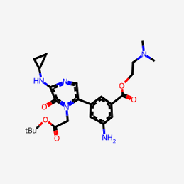 CN(C)CCOC(=O)c1cc(N)cc(-c2cnc(NC3CC3)c(=O)n2CC(=O)OC(C)(C)C)c1